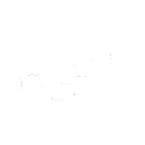 O=c1ncc(-c2ccnnc2)cn1-c1ccc(OC(F)(F)F)cc1